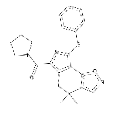 CC1(C)Cc2c(C(=O)N3CCCC3)sc(Sc3ccccc3)c2-c2oncc21